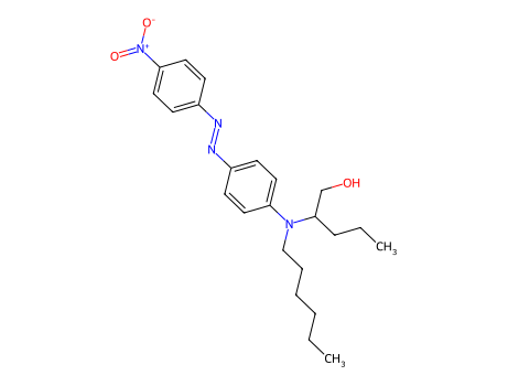 CCCCCCN(c1ccc(N=Nc2ccc([N+](=O)[O-])cc2)cc1)C(CO)CCC